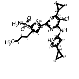 CCCCc1cc(-c2nc(Nc3cc(C4CC4)n[nH]3)c(Cl)c(C3CC3)n2)sc1S(N)(=O)=O